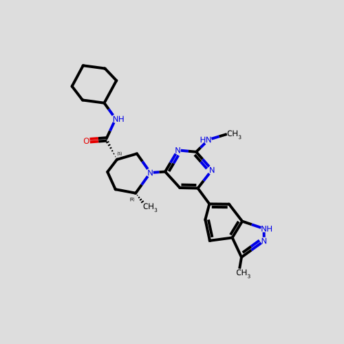 CNc1nc(-c2ccc3c(C)n[nH]c3c2)cc(N2C[C@@H](C(=O)NC3CCCCC3)CC[C@H]2C)n1